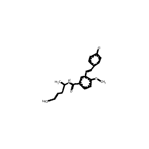 COc1ccc(C(=O)NC(C)CCCO)cc1/C=C/c1ccc(Cl)cc1